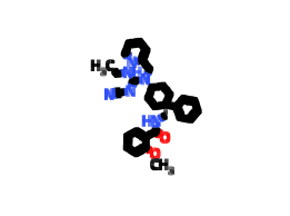 CCN/C(=N\C#N)N(Cc1ccccn1)[C@H]1CC[C@](CNC(=O)c2ccccc2OC)(c2ccccc2)CC1